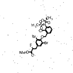 COC(=O)[C@@H](F)Cc1cc(Br)c(OCc2cccc(N(S(C)(=O)=O)S(C)(=O)=O)c2Cl)c(Br)c1